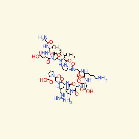 CC(C)[C@H](NC(=O)CNC(=O)[C@H](CC(=O)O)NC(=O)[C@H](C)NC(=O)CN)C(=O)N1CCC[C@H]1C(=O)NCC(=O)N[C@@H](CCCCN)C(=O)N[C@@H](CC(=O)O)C(=O)NCC(=O)N1CCC[C@H]1C(=O)N[C@@H](CCCNC(=N)N)C(=O)NCC(=O)N1CCC[C@H]1C(=O)O